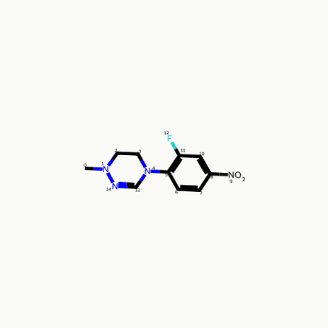 CN1CCN(c2ccc([N+](=O)[O-])cc2F)C=N1